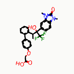 CC(c1ccccc1-c1ccc(OCC(=O)O)cc1)C(O)(c1ccc2c(c1)n(C)c(=O)n2C)C(F)(F)F